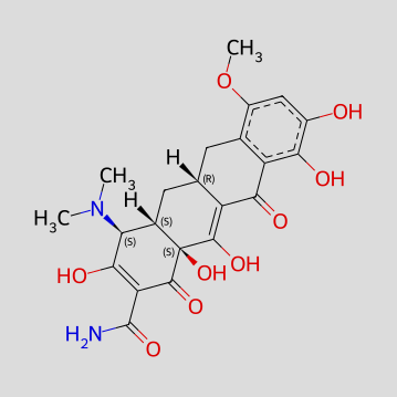 COc1cc(O)c(O)c2c1C[C@H]1C[C@H]3[C@H](N(C)C)C(O)=C(C(N)=O)C(=O)[C@@]3(O)C(O)=C1C2=O